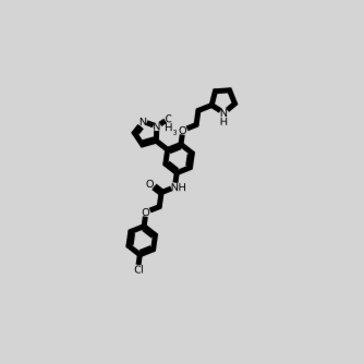 Cn1nccc1-c1cc(NC(=O)COc2ccc(Cl)cc2)ccc1OCCC1CCCN1